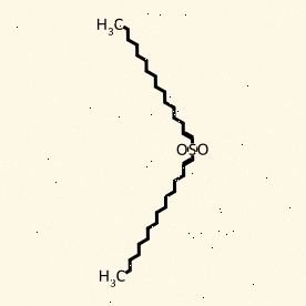 CCCCCCCCCCCCCCC=CS(=O)(=O)C=CCCCCCCCCCCCCCC